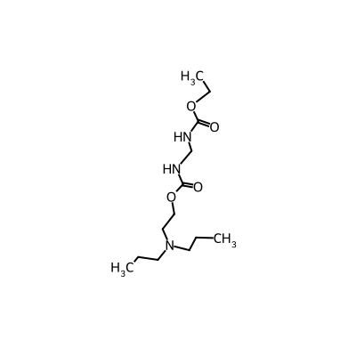 CCCN(CCC)CCOC(=O)NCNC(=O)OCC